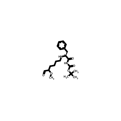 COC(C=O)CCCCN[C@@H](Cc1ccccc1)C(=O)NC(=O)OC(C)(C)C